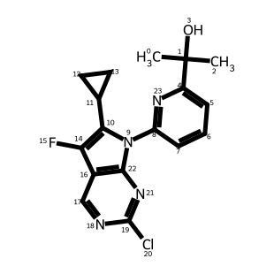 CC(C)(O)c1cccc(-n2c(C3CC3)c(F)c3cnc(Cl)nc32)n1